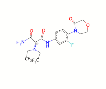 NC(=O)[C@@H](C(=O)Nc1ccc(N2CCOCC2=O)c(F)c1)N(CC(F)(F)F)CC(F)(F)F